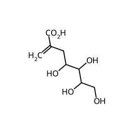 C=C(CC(O)C(O)C(O)CO)C(=O)O